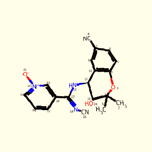 CC1(C)Oc2ccc(C#N)cc2[C@H](N/C(=N\C#N)c2ccc[n+]([O-])c2)[C@H]1O